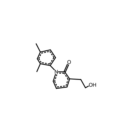 Cc1ccc(-n2cccc(CCO)c2=O)c(C)c1